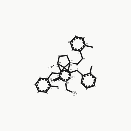 Cc1ccccc1CCC1(CCc2ccccc2C)[C@@H]2CC[C@]1(CCc1ccccc1C)c1[nH]n(CC(F)(F)F)c(=O)c12